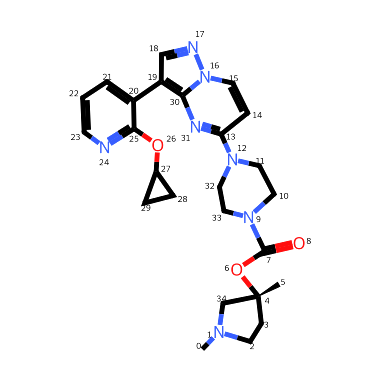 CN1CC[C@@](C)(OC(=O)N2CCN(c3ccn4ncc(-c5cccnc5OC5CC5)c4n3)CC2)C1